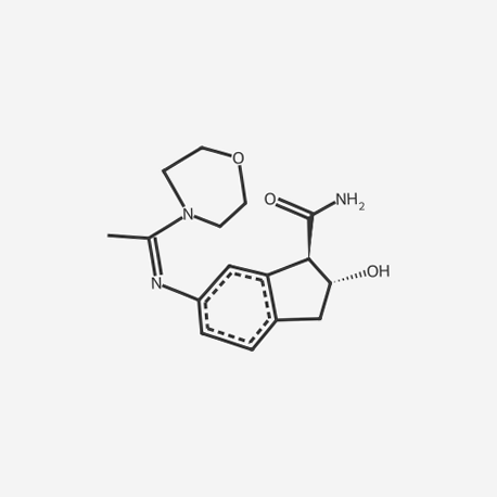 CC(=Nc1ccc2c(c1)[C@@H](C(N)=O)[C@H](O)C2)N1CCOCC1